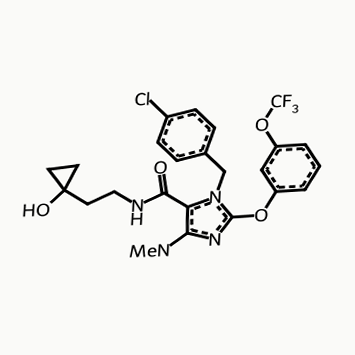 CNc1nc(Oc2cccc(OC(F)(F)F)c2)n(Cc2ccc(Cl)cc2)c1C(=O)NCCC1(O)CC1